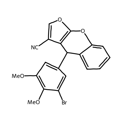 COc1cc(C2c3ccccc3Oc3occ(C#N)c32)cc(Br)c1OC